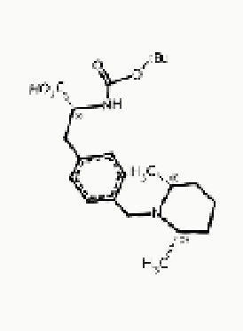 C[C@@H]1CCC[C@H](C)N1Cc1ccc(C[C@@H](NC(=O)OC(C)(C)C)C(=O)O)cc1